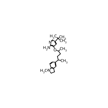 CC(CCC(C)c1ccc2c(c1)CCN2C)Oc1cc(C(C)(C)C)cnc1N